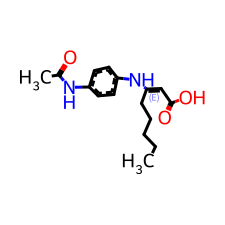 CCCCC/C(=C\C(=O)O)Nc1ccc(NC(C)=O)cc1